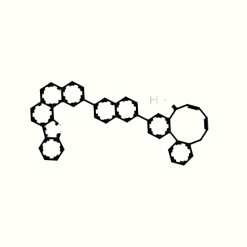 C=C1/C=C\C=C/Cc2ccccc2-c2ccc(-c3ccc4cc(-c5ccc6ccc7ccc8c9ccccc9sc8c7c6c5)ccc4c3)cc21